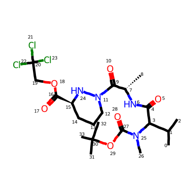 CC(C)C(C(=O)N[C@@H](C)C(=O)N1CCC[C@@H](C(=O)OCC(Cl)(Cl)Cl)N1)N(C)C(=O)OC(C)(C)C